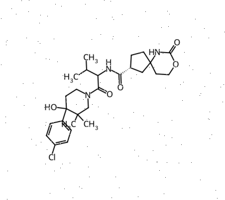 CC(C)C(NC(=O)[C@@H]1CCC2(CCOC(=O)N2)C1)C(=O)N1CCC(O)(c2ccc(Cl)cc2)C(C)(C)C1